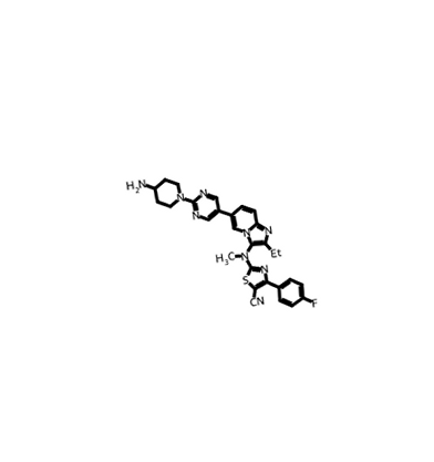 CCc1nc2ccc(-c3cnc(N4CCC(N)CC4)nc3)cn2c1N(C)c1nc(-c2ccc(F)cc2)c(C#N)s1